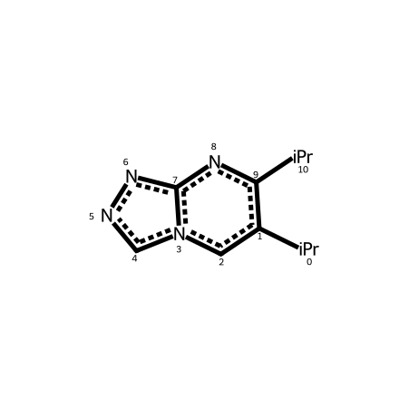 CC(C)c1cn2cnnc2nc1C(C)C